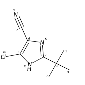 CC(C)(C)c1nc(C#N)c(Cl)[nH]1